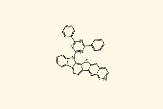 c1ccc(-c2nc(-c3ccccc3)nc(-n3c4ccccc4c4ccc5c6cc7cnccc7cc6sc5c43)n2)cc1